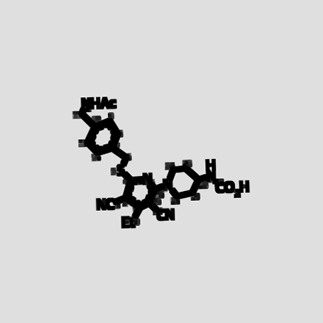 CCc1c(C#N)c(SCc2ccc(CNC(C)=O)cc2)nc(N2CCC(NC(=O)O)CC2)c1C#N